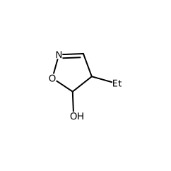 CCC1C=NOC1O